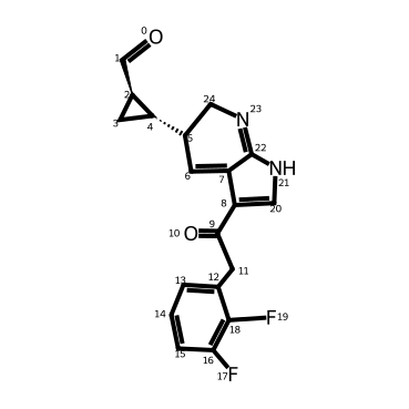 O=C[C@@H]1C[C@H]1C1C=c2c(C(=O)Cc3cccc(F)c3F)c[nH]c2=NC1